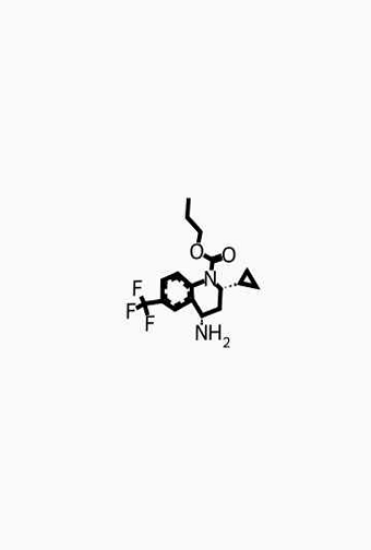 CCCOC(=O)N1c2ccc(C(F)(F)F)cc2[C@@H](N)C[C@H]1C1CC1